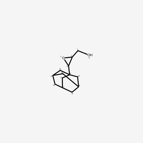 OCC1OC1C12CC3CC(CC(C3)C1)C2